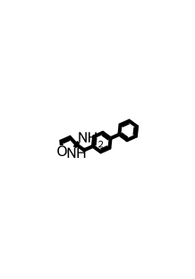 NC1(Cc2ccc(-c3ccccc3)cc2)C=CON1